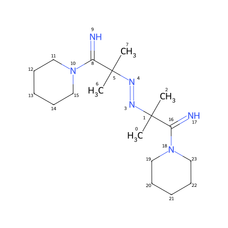 CC(C)(N=NC(C)(C)C(=N)N1CCCCC1)C(=N)N1CCCCC1